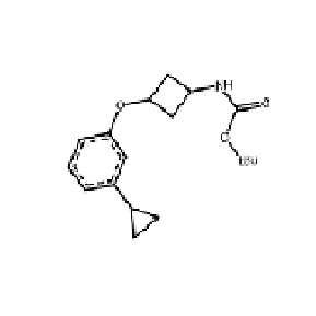 CC(C)(C)OC(=O)NC1CC(Oc2cccc(C3CC3)c2)C1